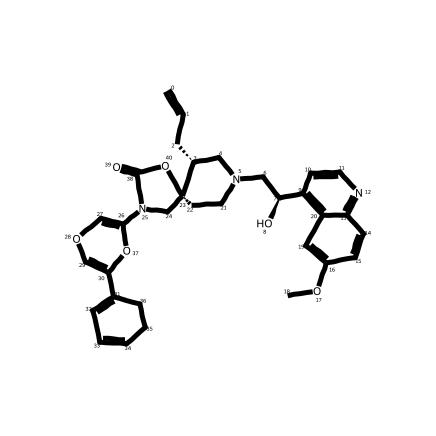 C=CC[C@@H]1CN(C[C@H](O)c2ccnc3ccc(OC)cc23)CC[C@@]12CN(C1=COC=C(C3=CC=CCC3)O1)C(=O)O2